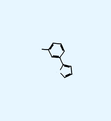 Fc1cc[c]c(-c2cccs2)c1